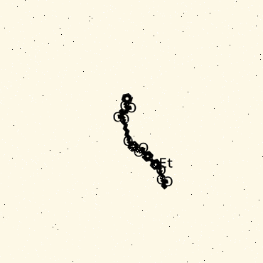 C=CC(=O)OCCOc1ccc(-c2ccc(C(=O)Oc3ccc(OCCCCCCOC(=O)C(=C)CC(=O)OC4CCCCC4)cc3)cc2)cc1CC